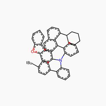 CC(C)(C)c1ccc(-c2ccccc2N(c2ccc3oc4ccccc4c3c2)c2ccccc2-c2cccc3cccc(C4CCCCC4)c23)cc1